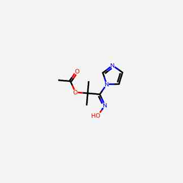 CC(=O)OC(C)(C)C(=NO)n1ccnc1